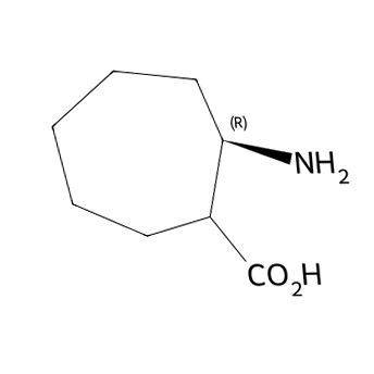 N[C@@H]1CCCCCC1C(=O)O